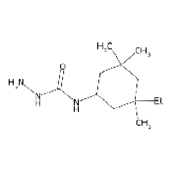 CCC1(C)CC(NC(=O)NN)CC(C)(C)C1